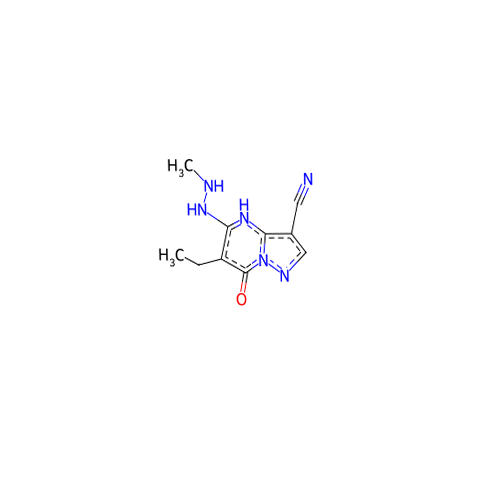 CCc1c(NNC)[nH]c2c(C#N)cnn2c1=O